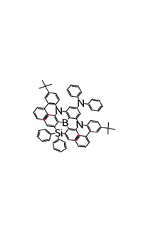 CC(C)(C)c1ccc(N2c3cc(N(c4ccccc4)c4ccccc4)cc4c3B3c5c2cccc5[Si](c2ccccc2)(c2ccccc2)c2cccc(c23)N4c2ccc(C(C)(C)C)cc2-c2ccccc2)c(-c2ccccc2)c1